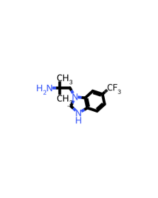 CC(C)(N)CN1[CH]Nc2ccc(C(F)(F)F)cc21